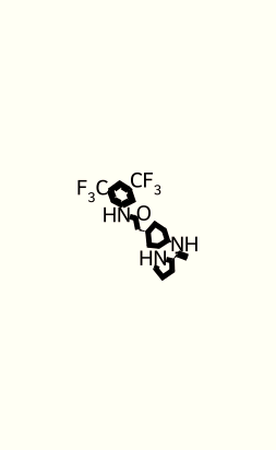 C=C(N[C@H]1CC[C@@H](CC(=O)Nc2cc(C(F)(F)F)cc(C(F)(F)F)c2)CC1)[C@@H]1CCCN1